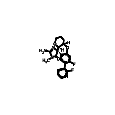 CN1C(=O)[C@]2(N=C1N)c1cc(-c3cccnc3F)c(F)cc1O[C@H]1CCCO[C@@H]12